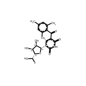 Cc1cc(C)c(C(=O)c2cn([C@@H]3O[C@H](C(O)F)[C@@H](O)[C@H]3O)c(=O)[nH]c2=O)c(C)c1